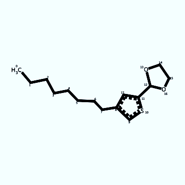 CCCCCCCCc1csc(C2OCCO2)c1